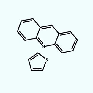 c1ccc2nc3ccccc3cc2c1.c1ccsc1